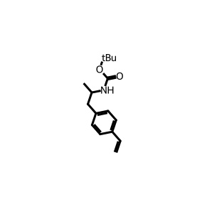 C=Cc1ccc(CC(C)NC(=O)OC(C)(C)C)cc1